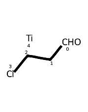 O=CCCCl.[Ti]